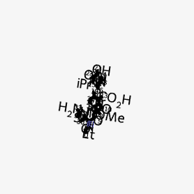 CCO/N=C(/C(=O)NC1(OC)C(=O)N2C(C(=O)O)=C(CSc3nnc(O)c(=O)n3C(C)C)CS[C@@H]21)c1csc(N)n1